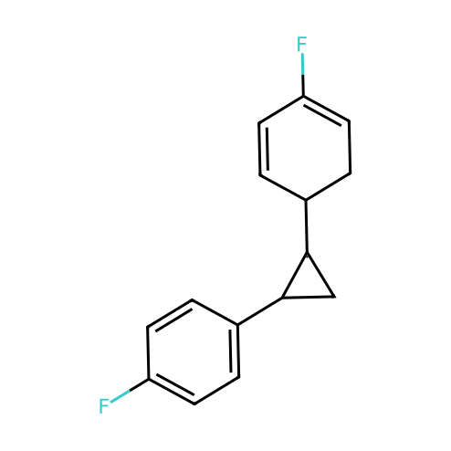 FC1=CCC([C]2CC2c2ccc(F)cc2)C=C1